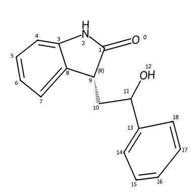 O=C1Nc2ccccc2[C@H]1CC(O)c1ccccc1